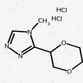 Cl.Cl.Cn1cnnc1C1COCCO1